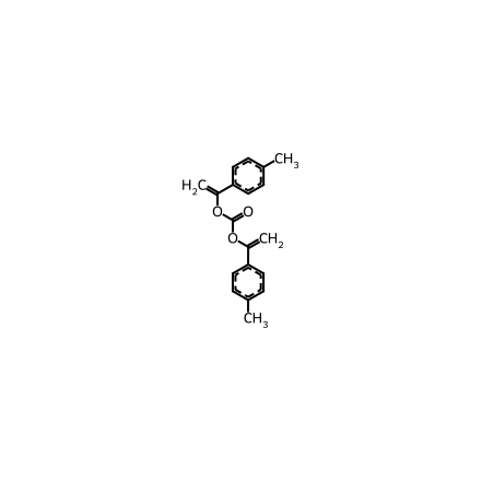 C=C(OC(=O)OC(=C)c1ccc(C)cc1)c1ccc(C)cc1